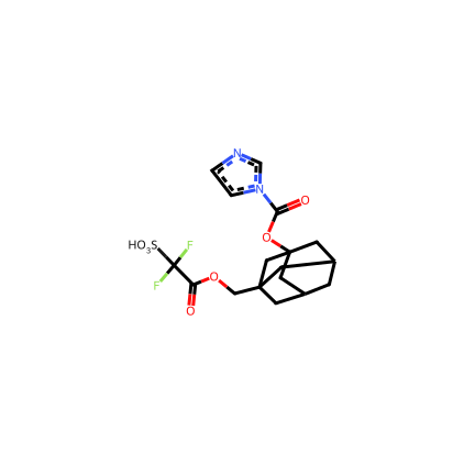 O=C(OC12CC3CC(CC(COC(=O)C(F)(F)S(=O)(=O)O)(C3)C1)C2)n1ccnc1